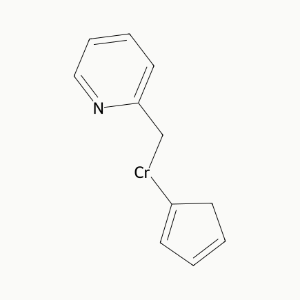 C1=CC[C]([Cr][CH2]c2ccccn2)=C1